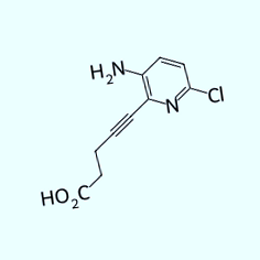 Nc1ccc(Cl)nc1C#CCCC(=O)O